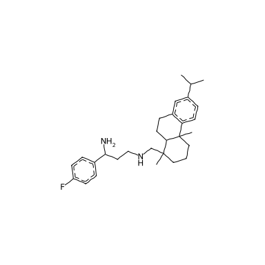 CC(C)c1ccc2c(c1)CCC1C(C)(CNCCC(N)c3ccc(F)cc3)CCCC21C